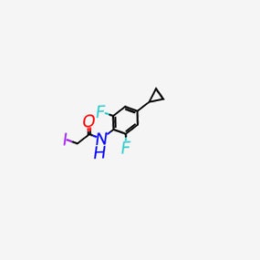 O=C(CI)Nc1c(F)cc(C2CC2)cc1F